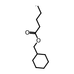 [CH2]CCCC(=O)OCC1CCCCC1